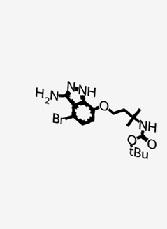 CC(C)(CCOc1ccc(Br)c2c(N)n[nH]c12)NC(=O)OC(C)(C)C